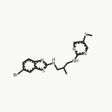 CSc1cnc(NCC(C)CNc2nc3ccc(Br)cc3s2)nc1